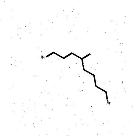 CC(C)CCCC(C)CCCCBr